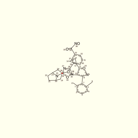 Cc1cccc(C)c1-c1noc(C2CC2)c1COC1CC2CCC(C1)N2c1nc(-c2cccc(C(=O)N=O)c2)no1